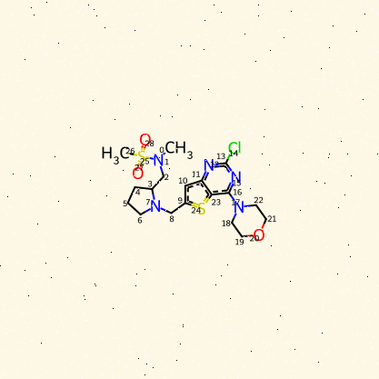 CN(CC1CCCN1Cc1cc2nc(Cl)nc(N3CCOCC3)c2s1)S(C)(=O)=O